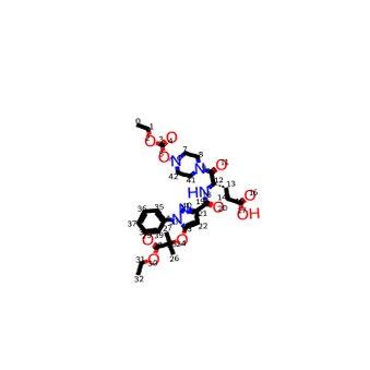 CCOC(=O)ON1CCN(C(=O)[C@H](CCC(=O)O)NC(=O)c2cc(OC(C)(C)C(=O)OCC)n(-c3ccccc3)n2)CC1